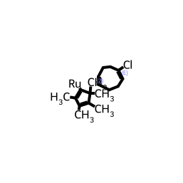 CC1=C(C)C(C)(C)[C]([Ru])=C1C.Cl/C1=C/CC/C=C\CC1